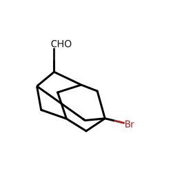 O=CC1C2CC3CC1CC(Br)(C3)C2